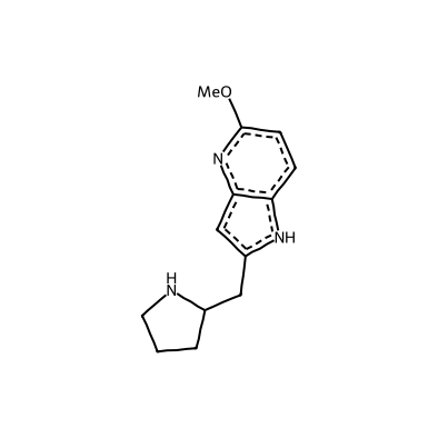 COc1ccc2[nH]c(CC3CCCN3)cc2n1